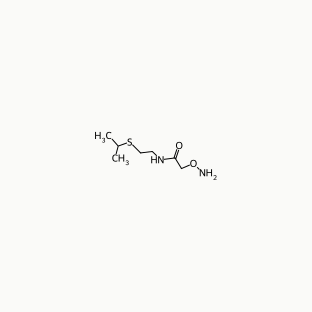 CC(C)SCCNC(=O)CON